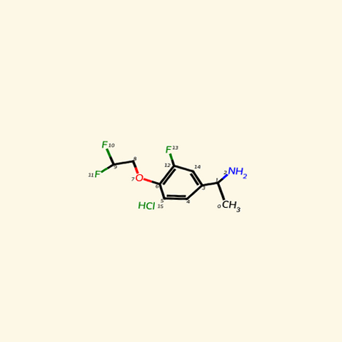 CC(N)c1ccc(OCC(F)F)c(F)c1.Cl